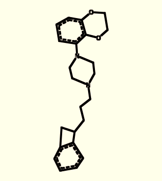 c1ccc2c(c1)CC2CCCN1CCN(c2cccc3c2OCCO3)CC1